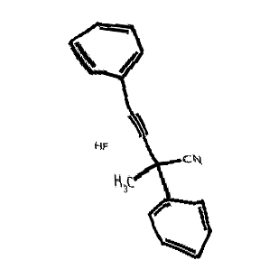 CC(C#N)(C#Cc1ccccc1)c1ccccc1.F